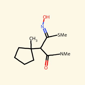 CNC(=O)C(C(=NO)SC)C1(C)CCCC1